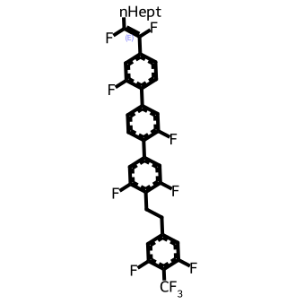 CCCCCCC/C(F)=C(\F)c1ccc(-c2ccc(-c3cc(F)c(CCc4cc(F)c(C(F)(F)F)c(F)c4)c(F)c3)c(F)c2)c(F)c1